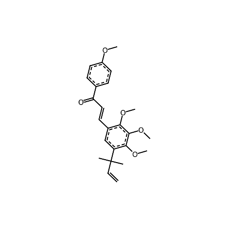 C=CC(C)(C)c1cc(C=CC(=O)c2ccc(OC)cc2)c(OC)c(OC)c1OC